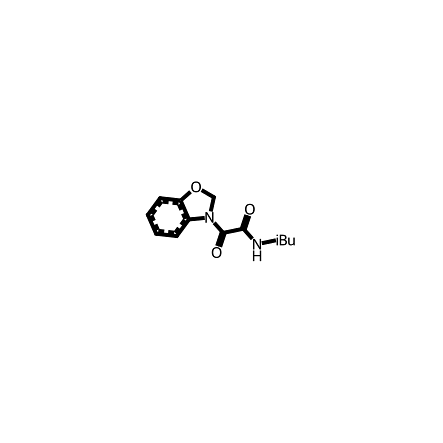 CCC(C)NC(=O)C(=O)N1COc2ccccc21